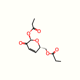 CCC(=O)OC[C@@H]1C=CC(=O)[C@@H](OC(=O)CC)O1